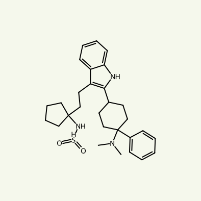 CN(C)C1(c2ccccc2)CCC(c2[nH]c3ccccc3c2CCC2(N[SH](=O)=O)CCCC2)CC1